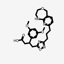 COc1cc(OC)cc(C(CC(=O)O)Cc2nc(CCCc3ccc4c(n3)NCCOC4)no2)c1